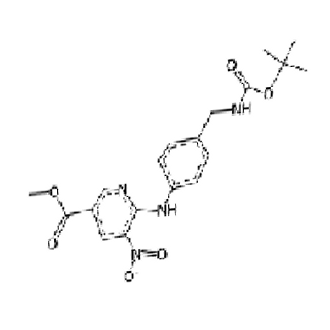 COC(=O)c1cnc(Nc2ccc(CNC(=O)OC(C)(C)C)cc2)c([N+](=O)[O-])c1